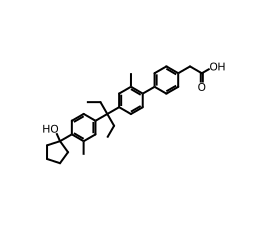 CCC(CC)(c1ccc(-c2ccc(CC(=O)O)cc2)c(C)c1)c1ccc(C2(O)CCCC2)c(C)c1